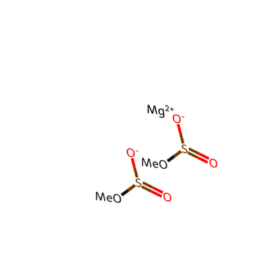 COS(=O)[O-].COS(=O)[O-].[Mg+2]